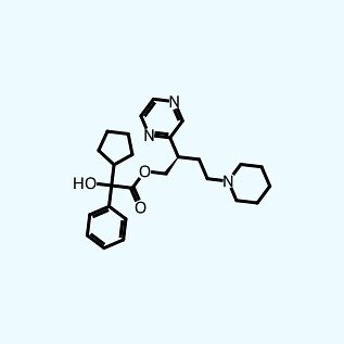 O=C(OC[C@H](CCN1CCCCC1)c1cnccn1)C(O)(c1ccccc1)C1CCCC1